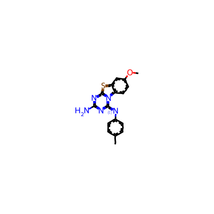 COc1ccc2c(c1)sc1nc(N)n/c(=N\c3ccc(C)cc3)n12